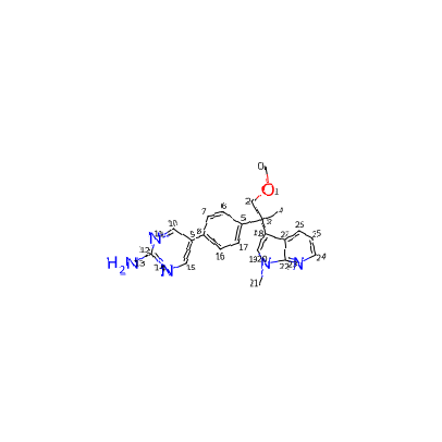 COCC(C)(c1ccc(-c2cnc(N)nc2)cc1)c1cn(C)c2ncccc12